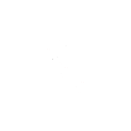 O=CC(=O)[O-].O=CC(=O)[O-].O=CC(=O)[O-].O=CC(=O)[O-].[C+4]